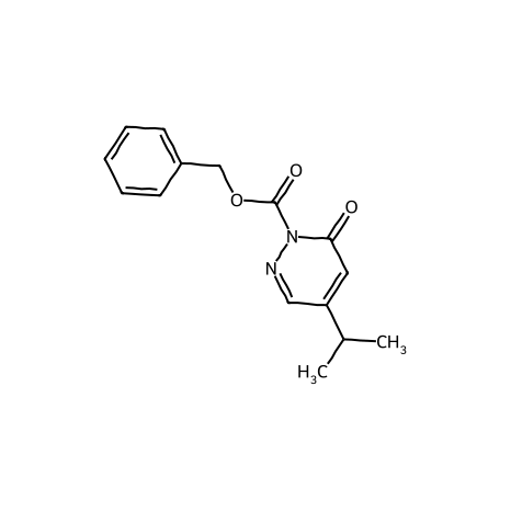 CC(C)c1cnn(C(=O)OCc2ccccc2)c(=O)c1